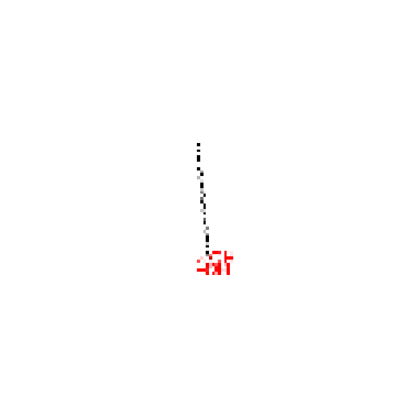 CCCCCC/C=C/CCCCCCCCCCCCCCC(O)C(=O)O